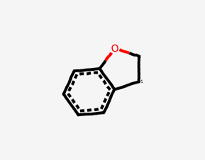 [C]1COc2ccccc21